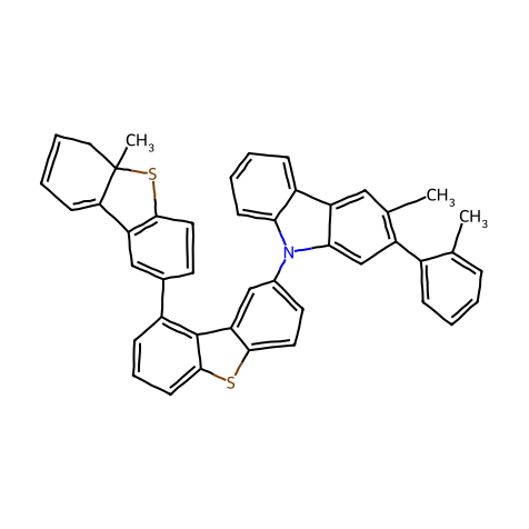 Cc1ccccc1-c1cc2c(cc1C)c1ccccc1n2-c1ccc2sc3cccc(-c4ccc5c(c4)C4=CC=CCC4(C)S5)c3c2c1